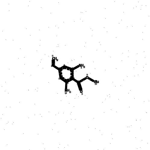 C=Cc1cc(N)c(C(=O)OC(C)(C)C)c(N)c1